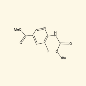 COC(=O)c1cnc(NC(=O)OC(C)(C)C)c(F)c1